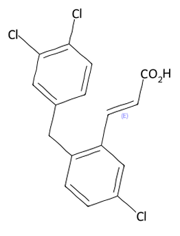 O=C(O)/C=C/c1cc(Cl)ccc1Cc1ccc(Cl)c(Cl)c1